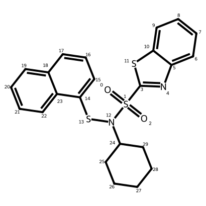 O=S(=O)(c1nc2ccccc2s1)N(Sc1cccc2ccccc12)C1CCCCC1